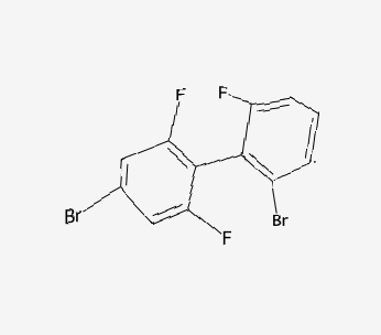 Fc1cc[c]c(Br)c1-c1c(F)cc(Br)cc1F